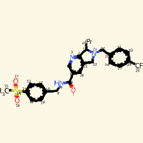 CC(C)C1c2ncc(C(=O)NCc3ccc(S(C)(=O)=O)cc3)cc2CN1Cc1ccc(C(F)(F)F)cc1